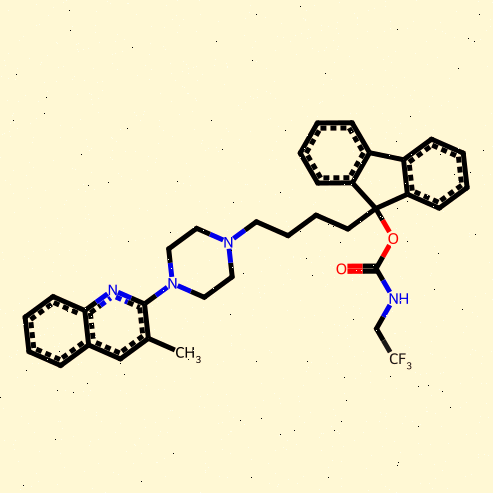 Cc1cc2ccccc2nc1N1CCN(CCCCC2(OC(=O)NCC(F)(F)F)c3ccccc3-c3ccccc32)CC1